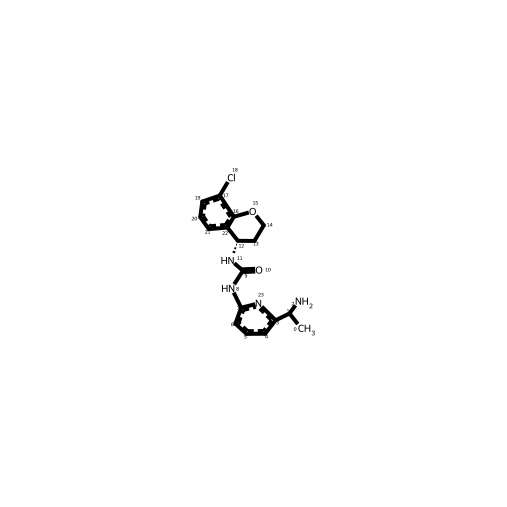 CC(N)c1cccc(NC(=O)N[C@H]2CCOc3c(Cl)cccc32)n1